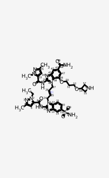 CCn1nc(C)cc1C(=O)Nc1nc2cc(S(N)(=O)=O)ccc2n1C/C=C/Cn1c(NC(=O)c2cc(C)nn2C)nc2cc(C(N)=O)cc(OCCCOC3CNC3)c21